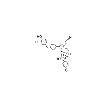 C[C@]12C=CC(=O)C=C1CC[C@H]1[C@@H]3CC[C@@](OC(=O)c4ccc(Sc5ccc(O)c(Cl)c5)cc4)(C(=O)OCC#N)[C@@]3(C)C[C@H](O)C12F